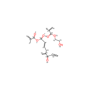 C=C(C)C(=O)OC(=O)C=CCC(=C)C(=O)OC.C=C(C)C(=O)OCCO